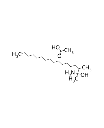 CC(=O)O.CCCCCCCCCCCCCCC(C)C(C)(N)O